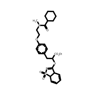 CCOC(=O)C(Cc1ccc(OCCN(C)C(=O)C2CCCCC2)cc1)SC1=NS(=O)(=O)C2C=CC=CC12